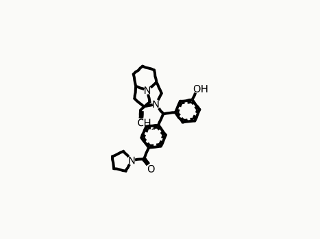 C=CCN1C2CCCC1CN(C(c1ccc(C(=O)N3CCCC3)cc1)c1cccc(O)c1)CC2